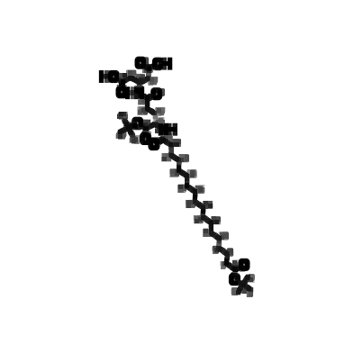 CC(C)(C)OC(=O)CCCCCCCCCCCCCCCCC(=O)N[C@@H](CCC(=O)NC(CC(=O)O)CC(=O)O)C(=O)OC(C)(C)C